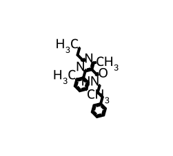 CCCc1nc(C)c(C(=O)NCCCc2ccccc2)c(-c2cc(C)ccc2C)n1